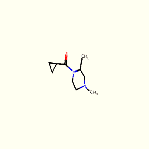 CC1CN(C)CCN1C(=O)C1CC1